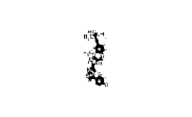 CN1C(=O)C(NC(=O)c2cn3c(-c4ccc(Cl)cc4F)csc3n2)COc2ccc(C#CC(C)(C)O)cc21